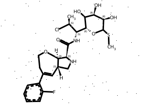 CSC1O[C@H]([C@H](NC(=O)[C@H]2NC[C@@H]3C=C(c4ccccc4F)CCO[C@@H]23)[C@H](C)Cl)C(O)[C@@H](O)[C@H]1O